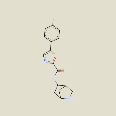 O=C(NC1CC2CC1CN2)c1ncc(-c2ccc(F)cc2)o1